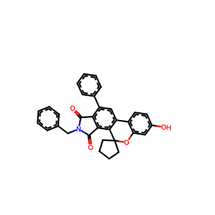 O=C1c2c(-c3ccccc3)cc3c(c2C(=O)N1Cc1ccccc1)C1(CCCC1)Oc1cc(O)ccc1-3